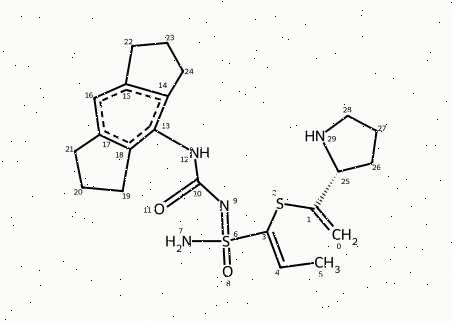 C=C(S/C(=C\C)S(N)(=O)=NC(=O)Nc1c2c(cc3c1CCC3)CCC2)[C@H]1CCCN1